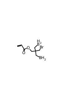 BCC(CB)(CBr)COC(=O)C=C